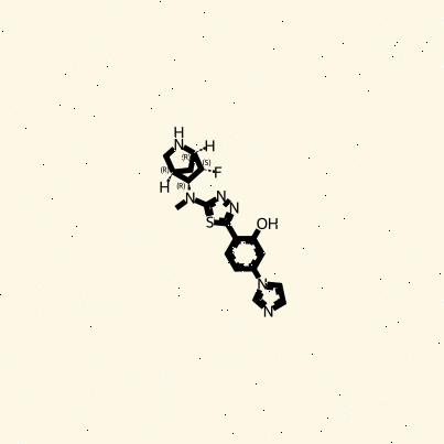 CN(c1nnc(-c2ccc(-n3ccnc3)cc2O)s1)[C@@H]1[C@H]2CN[C@H](C2)[C@@H]1F